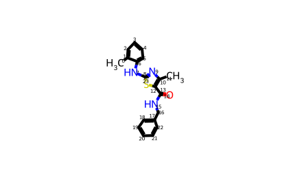 Cc1ccccc1Nc1nc(C)c(C(=O)NCc2ccccc2)s1